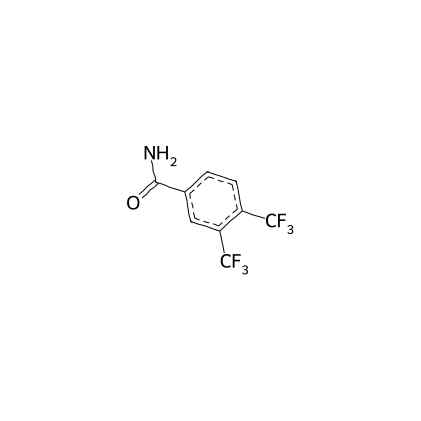 NC(=O)c1ccc(C(F)(F)F)c(C(F)(F)F)c1